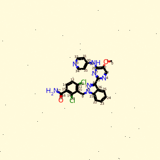 COc1cnc(-c2nn(Cc3c(Cl)ccc(C(N)=O)c3Cl)c3ccccc23)nc1Nc1ccncc1